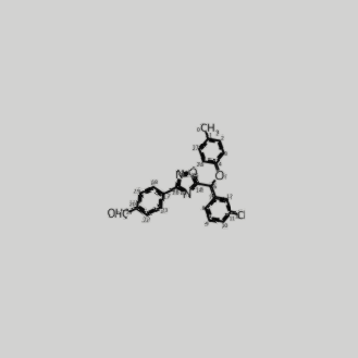 Cc1ccc(OC(c2cccc(Cl)c2)c2nc(-c3ccc(C=O)cc3)no2)cc1